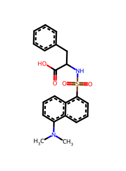 CN(C)c1cccc2c(S(=O)(=O)NC(Cc3ccccc3)C(=O)O)cccc12